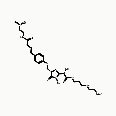 CCN(CC)CCNC(=O)CCCc1ccc(NC[C@H]2SC([C@H](N)C(=O)NCCCNCCNC)N(CC)C2=O)cc1